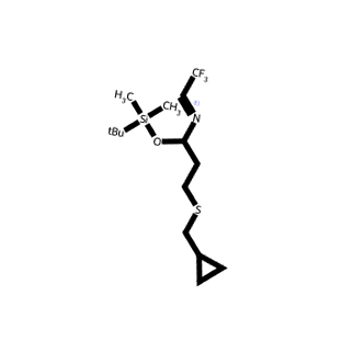 CC(C)(C)[Si](C)(C)OC(CCSCC1CC1)/N=C/C(F)(F)F